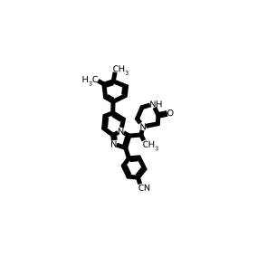 Cc1ccc(-c2ccc3nc(-c4ccc(C#N)cc4)c(C(C)N4CCNC(=O)C4)n3c2)cc1C